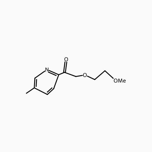 COCCOCC(=O)c1ccc(C)cn1